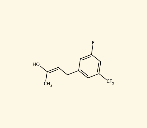 C/C(O)=C\Cc1cc(F)cc(C(F)(F)F)c1